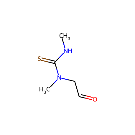 CNC(=S)N(C)CC=O